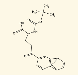 CC(C)(C)OC(=O)NC(CCC(=O)c1ccc2c(c1)C1C=CC2O1)C(=O)O